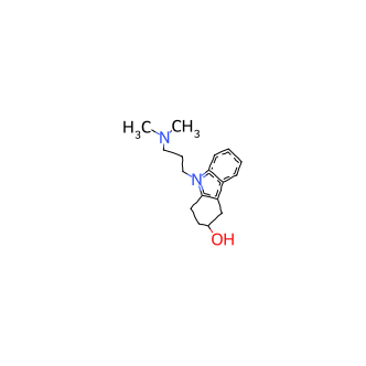 CN(C)CCCn1c2c(c3ccccc31)CC(O)CC2